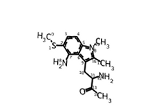 CSc1ccc2c(c1N)c(CC(N)C(C)=O)c(C)n2C